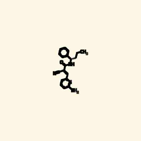 Bc1cccc(/C=C(\C#N)C(=O)N[C@@H](CCC)c2ccccc2)n1